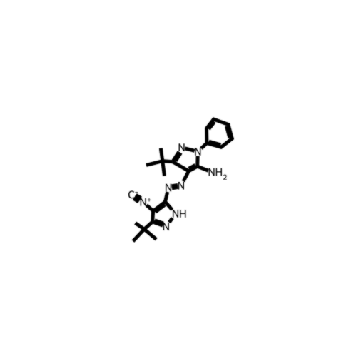 [C-]#[N+]c1c(C(C)(C)C)n[nH]c1/N=N/c1c(C(C)(C)C)nn(-c2ccccc2)c1N